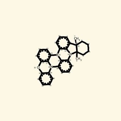 CC12CCCC[C@@]1(C)c1cccc3c1N2c1cccc2c1B3c1cccc3c1N2c1ccccc1O3